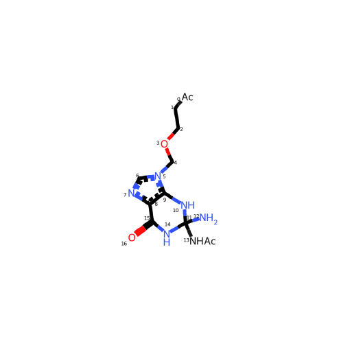 CC(=O)CCOCn1cnc2c1NC(N)(NC(C)=O)NC2=O